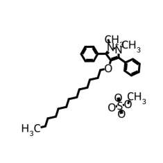 CCCCCCCCCCCCCOc1c(-c2ccccc2)n(C)[n+](C)c1-c1ccccc1.COS(=O)(=O)[O-]